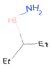 CCC(BN)CC